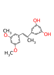 COc1cc(/C=C(\C)c2cc(O)cc(O)c2)cc(OC)c1